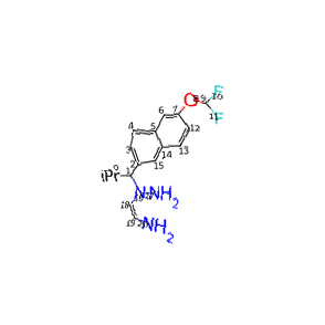 CC(C)C(c1ccc2cc(OC(F)F)ccc2c1)N(N)/C=C\N